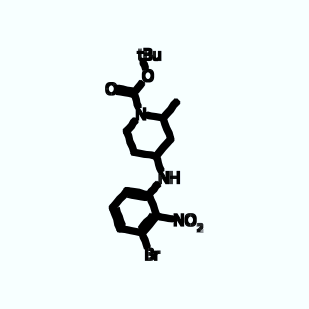 CC1CC(Nc2cccc(Br)c2[N+](=O)[O-])CCN1C(=O)OC(C)(C)C